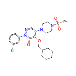 CC(C)S(=O)(=O)N1CCN(c2cnn(-c3cccc(Cl)c3)c(=O)c2OCC2CCCCC2)CC1